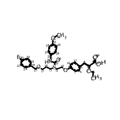 CCOC(Cc1ccc(OCCN(CCCOCc2ccc(F)cc2)C(=O)Nc2ccc(OC)cc2)cc1)C(=O)O